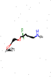 CCCOCCOCC(F)(F)CCNC(C)(C)C